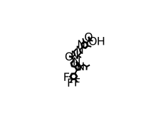 Cc1cc(N2CCN(C(=O)c3ccc4c(-c5cc(F)c(F)c(F)c5)cn(CC(C)C)c4n3)C(C)(C)C2)nc(C)c1C(=O)O